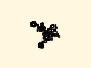 CC(C)C[C@H](NC(=O)OCc1ccccc1)C(=O)N[C@@H](CC(C)C)C(=O)C1NN(CCc2ccccc2)C(=O)O1